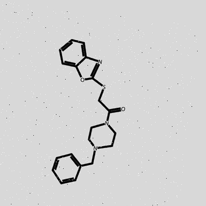 O=C(CSc1nc2ccccc2o1)N1CCN(Cc2ccccc2)CC1